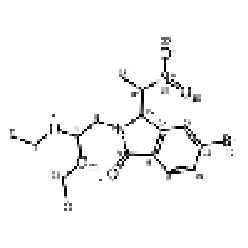 CCOC(CN1C(=O)c2ccc(Br)cc2C1C(C)[N+](=O)[O-])OCC